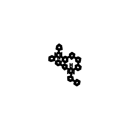 c1ccc(-c2ccc(C3N=C(c4cccc(-c5ccccc5)c4)N=C(c4cccc(-c5cccc(-c6cccc(-c7cccc(-c8nc(-c9ccccc9)nc(-c9ccccc9)n8)c7)c6)c5)c4)N3)cc2)cc1